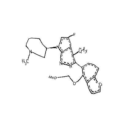 COCOc1c(-c2nnc3c(c(F)cn3[C@@H]3CCCN(C)C3)c2C)ccc2occc12